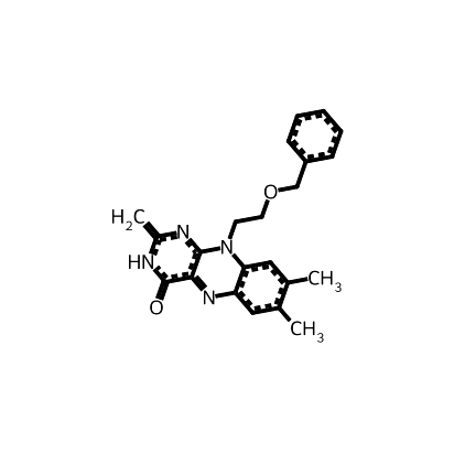 C=c1nc2c(c(=O)[nH]1)=Nc1cc(C)c(C)cc1N2CCOCc1ccccc1